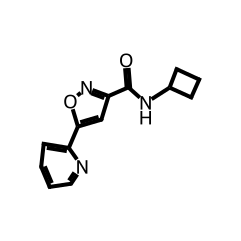 O=C(NC1CCC1)c1cc(-c2ccccn2)on1